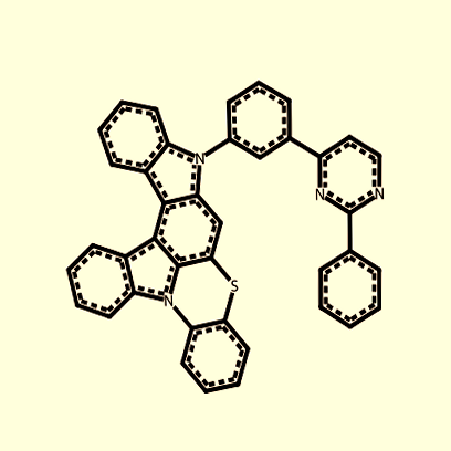 c1ccc(-c2nccc(-c3cccc(-n4c5ccccc5c5c6c7ccccc7n7c6c(cc54)Sc4ccccc4-7)c3)n2)cc1